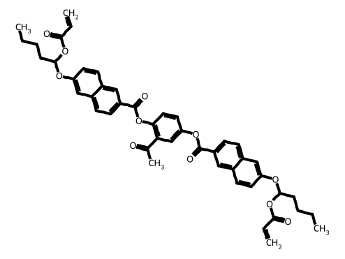 C=CC(=O)OC(CCCC)Oc1ccc2cc(C(=O)Oc3ccc(OC(=O)c4ccc5cc(OC(CCCC)OC(=O)C=C)ccc5c4)c(C(C)=O)c3)ccc2c1